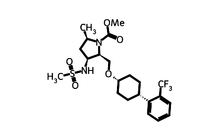 COC(=O)N1[C@H](C)C[C@H](NS(C)(=O)=O)[C@@H]1CO[C@H]1CC[C@@H](c2ccccc2C(F)(F)F)CC1